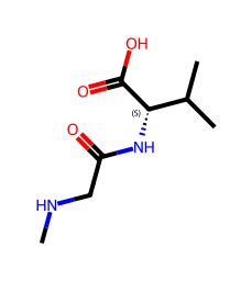 CNCC(=O)N[C@H](C(=O)O)C(C)C